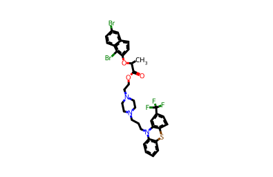 CC(Oc1ccc2cc(Br)ccc2c1Br)C(=O)OCCN1CCN(CCCN2c3ccccc3Sc3ccc(C(F)(F)F)cc32)CC1